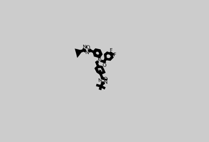 CC(C)(C)c1noc(C23CCC(CN(C(=O)C4CCC(F)(F)CC4)c4cccc(-c5nc(C6CC6)no5)c4)(CC2)CC3)n1